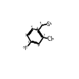 Fc1ccc(C[S])c(Cl)c1